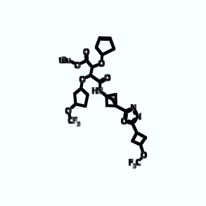 CC(C)(C)OC(=O)C(OC1CC=CC1)C(OC1CCC(OC(F)(F)F)C1)C(=O)NC12CC(c3nnc(C4CC(OC(F)(F)F)C4)o3)(C1)C2